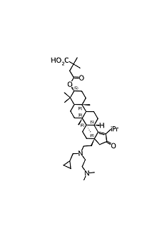 CC(C)C1=C2[C@H]3CCC4[C@@]5(C)CC[C@H](OC(=O)CC(C)(C)C(=O)O)C(C)(C)C5CC[C@@]4(C)[C@]3(C)CC[C@@]2(CCN(CCN(C)C)CC2CC2)CC1=O